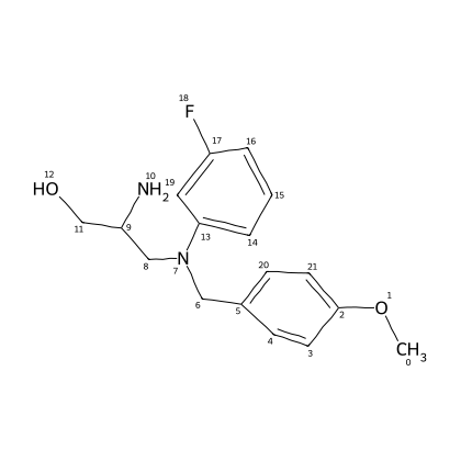 COc1ccc(CN(CC(N)CO)c2cccc(F)c2)cc1